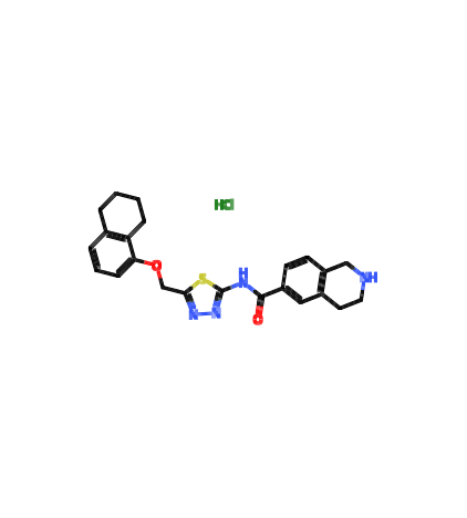 Cl.O=C(Nc1nnc(COc2cccc3c2CCCC3)s1)c1ccc2c(c1)CCNC2